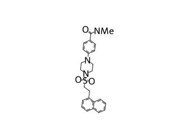 CNC(=O)c1ccc(N2CCN(S(=O)(=O)CCc3cccc4ccccc34)CC2)cc1